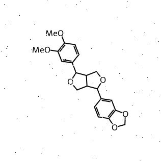 COc1ccc(C2OCC3C(c4ccc5c(c4)OCO5)OCC23)cc1OC